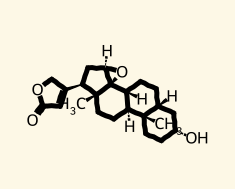 C[C@]12CC[C@@H](O)C[C@H]1CC[C@@H]1[C@@H]2CC[C@]2(C)[C@@H](C3=CC(=O)OC3)C[C@H]3O[C@]132